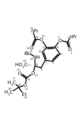 CCCC(=O)Oc1ccc(C[C@](NC(C)CC)(OC(=O)OC(C)(C)CC)C(=O)O)cc1OC(=O)CCC